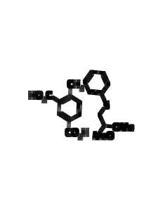 COC(CSc1ccccc1)OC.Cc1ccc(C(=O)O)cc1C(=O)O